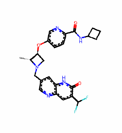 C[C@@H]1[C@@H](Oc2ccc(C(=O)NC3CCC3)nc2)CN1Cc1cnc2cc(C(F)F)c(=O)[nH]c2c1